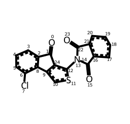 O=C1c2cccc(Cl)c2-c2csc(N3C(=O)c4ccccc4C3=O)c21